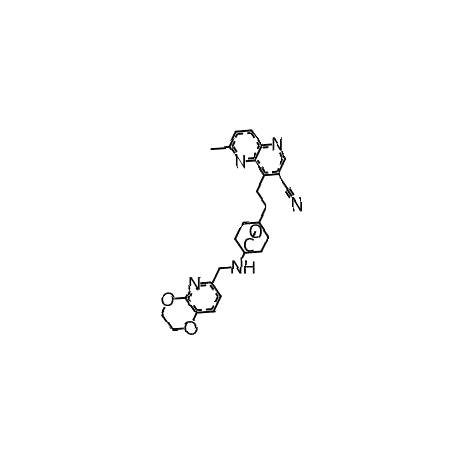 Cc1ccc2ncc(C#N)c(CCC34CCC(NCc5ccc6c(n5)OCCO6)(CC3)CO4)c2n1